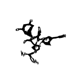 CC(C)N1C[C@@H](c2ccc(C#N)cc2)[C@]2(C1)C(=O)N(c1cc(Cl)cc(Cl)c1)C(=O)N2C